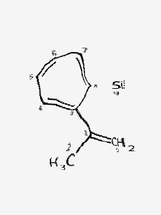 C=C(C)c1ccccc1.[Si]